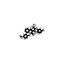 COc1ccc(Cn2c(=O)c3c(O)c(Sc4cccc(F)c4)c(=O)oc3c3ccccc32)cc1